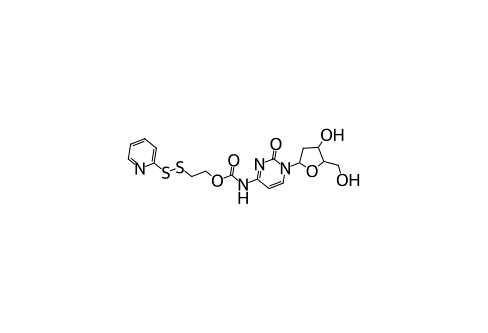 O=C(Nc1ccn(C2CC(O)C(CO)O2)c(=O)n1)OCCSSc1ccccn1